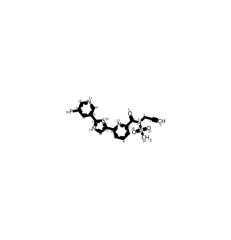 C#CCN(C(=O)c1cccc(-c2cnc(-c3cncc(F)c3)s2)n1)S(C)(=O)=O